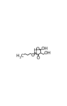 CCCCONC(=O)C(CO)C(=O)O